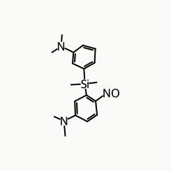 CN(C)c1cccc([Si](C)(C)c2cc(N(C)C)ccc2N=O)c1